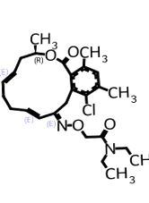 CCN(CC)C(=O)CO/N=C1/C=C/CC/C=C/C[C@@H](C)OC(=O)c2c(C)cc(C)c(Cl)c2C1